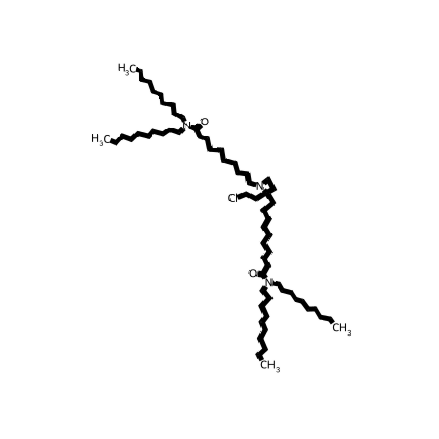 CCCCCCCCCCN(CCCCCCCCCC)C(=O)CCCCCCCCCN1CCC1(CCCl)CCCCCCCCCC(=O)N(CCCCCCCCCC)CCCCCCCCCC